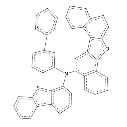 c1ccc(-c2cccc(N(c3cc4c(oc5ccc6ccccc6c54)c4ccccc34)c3cccc4c3sc3ccccc34)c2)cc1